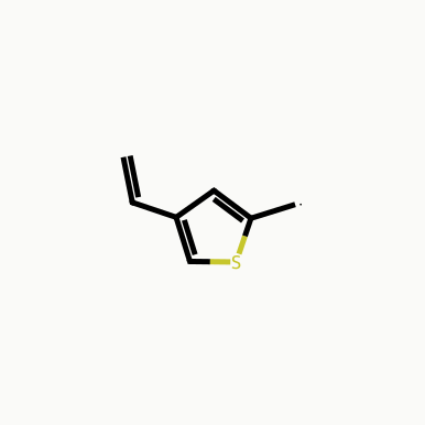 [CH2]c1cc(C=C)cs1